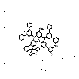 CC(C)(C)c1cc(-c2ccc3c(c2)N(c2cc(-c4ccccc4)cc(-c4ccccc4)c2)c2cc(C(C)(C)C)cc4c2B3c2cc3c(cc2N4c2cc(-c4ccccc4)cc(-c4ccccc4)c2)-c2ccccc2C32c3ccccc3Oc3ccccc32)cc(C(C)(C)C)c1